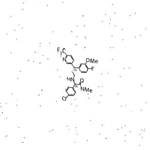 CNC(=O)[C@H](NCC[C@H](c1ccc(C(F)(F)F)nc1)c1ccc(F)c(OC)c1)c1ccc(Cl)cc1